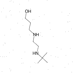 CC(C)(C)NCCNCCCO